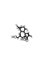 CC1=CC2C3C(C=C(CO)CC2(O)C1=O)C1C(C)C1C[C@H]3C